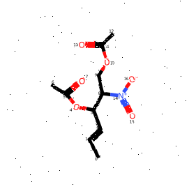 CC=CC(OC(C)=O)C(COC(C)=O)[N+](=O)[O-]